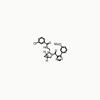 COc1cccc(-c2scnc2C(=O)N2C[C@@H]3C[C@@H]3[C@H]2CNC(=O)c2cccc(Cl)c2)c1